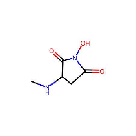 CNC1CC(=O)N(O)C1=O